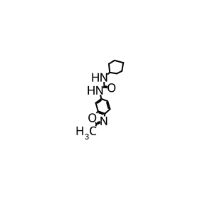 Cc1nc2ccc(NC(=O)NC3CCCCC3)cc2o1